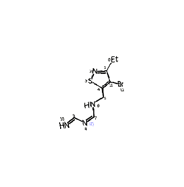 CCc1nsc(CN/C=N\C=N)c1Br